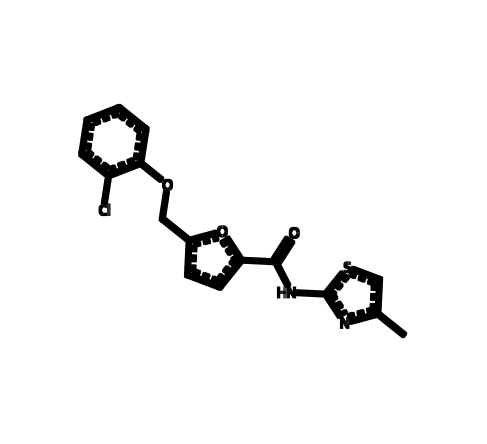 Cc1csc(NC(=O)c2ccc(COc3ccccc3Cl)o2)n1